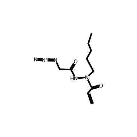 C=CC(=O)N(CCCCC)NC(=O)CN=[N+]=[N-]